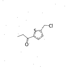 CCC(=O)c1ccc(CCl)s1